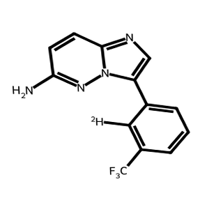 [2H]c1c(-c2cnc3ccc(N)nn23)cccc1C(F)(F)F